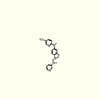 CCc1ccc(N(C)c2ccc3c(c2)CC[C@H]3CNc2cccnc2)nc1